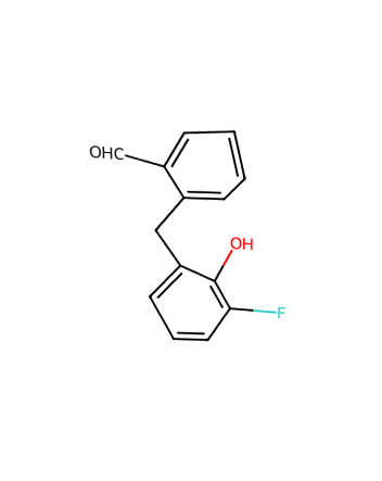 O=Cc1ccccc1Cc1cccc(F)c1O